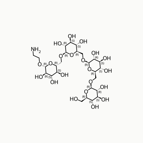 NCCO[C@@H]1O[C@H](CO[C@@H]2O[C@H](CO[C@@H]3O[C@H](CO[C@@H]4O[C@H](CO)[C@@H](O)[C@H](O)[C@H]4O)[C@@H](O)[C@H](O)[C@H]3O)[C@@H](O)[C@H](O)[C@H]2O)[C@@H](O)[C@H](O)[C@H]1O